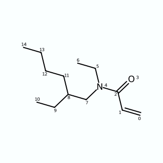 C=CC(=O)N(CC)CC(CC)CCCC